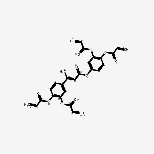 C=CC(=O)Oc1ccc(OC(=O)/C=C(\C)c2ccc(OC(=O)C=C)c(OC(=O)C=C)c2)cc1OC(=O)C=C